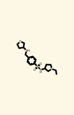 CCN1CCC(NS(=O)(=O)c2ccc(CNC3CCOC3)cc2)C1